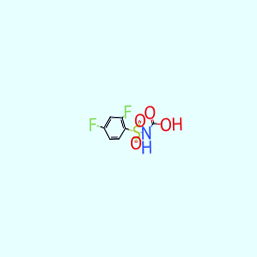 O=C(O)NS(=O)(=O)c1ccc(F)cc1F